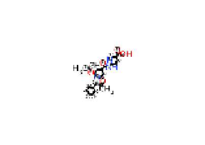 CC(C)Oc1cc(C(=O)Nc2ccc(C(=O)O)cn2)cc(O[C@@H](C)Cc2ccccc2)n1